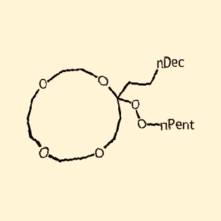 CCCCCCCCCCCCC1(OOCCCCC)CCOCCOCCCOCCO1